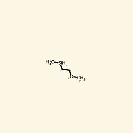 COCC[SiH2]C